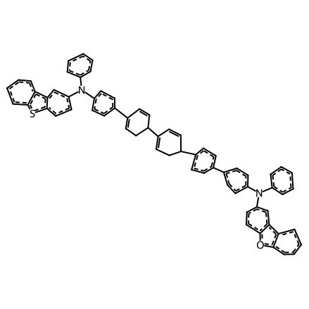 C1=CC(C2=CCC(c3ccc(-c4ccc(N(c5ccccc5)c5ccc6oc7ccccc7c6c5)cc4)cc3)C=C2)CC=C1c1ccc(N(c2ccccc2)c2ccc3sc4ccccc4c3c2)cc1